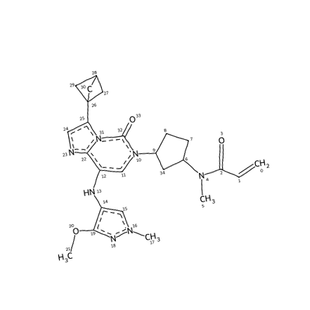 C=CC(=O)N(C)C1CCC(n2cc(Nc3cn(C)nc3OC)c3ncc(C45CC(C4)C5)n3c2=O)C1